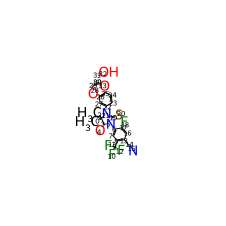 CC1(C)C(=O)N(c2cc(C(F)(F)F)c(C#N)cc2F)C(=S)N1c1ccc2c(c1)OC[C@H](CO)O2